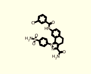 NC(=O)c1nn(-c2ccc(S(N)(=O)=O)cc2)c2c1CCc1ccc(NC(=O)c3cccc(Cl)c3)cc1-2